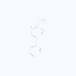 COc1ncc(-c2c[c]ccc2)cn1